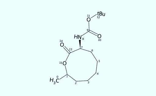 CC1CCCCC[C@H](NC(=O)OC(C)(C)C)C(=O)O1